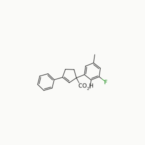 Cc1cc(F)c(C)c(C2(C(=O)O)C=C(c3ccccc3)CC2)c1